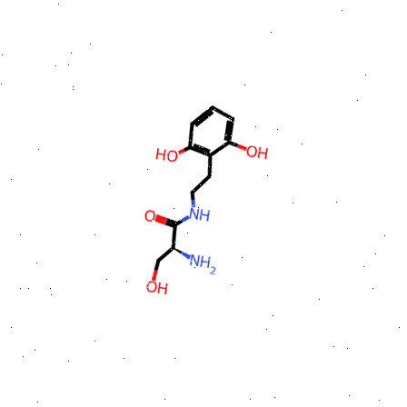 N[C@@H](CO)C(=O)NCCc1c(O)cccc1O